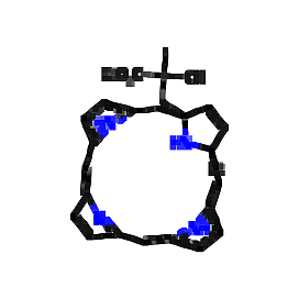 CCOC(=O)C(C)(C#N)CC12C=CC(CC)(C=c3ccc([nH]3)=CC3=NC(=Cc4ccc([nH]4)C1)C=C3)N2